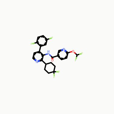 O=C(Nc1c(-c2cc(F)ccc2F)ccnc1C1CCC(F)(F)CC1)c1ccc(OC(F)F)nc1